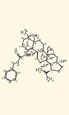 C=C(C)[C@@H]1CC[C@@H]2CC[C@]3(C)[C@H](CC[C@@H]4[C@@]5(C)C(NC(=O)OCc6ccccc6)CCC(C)(C)[C@@H]5CC[C@]43C)[C@H]21